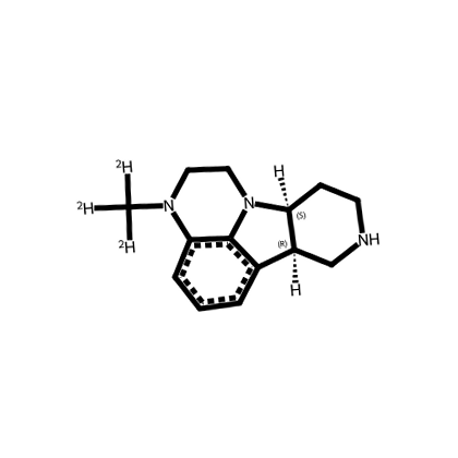 [2H]C([2H])([2H])N1CCN2c3c(cccc31)[C@@H]1CNCC[C@@H]12